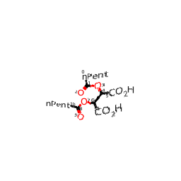 CCCCCC(=O)OC(C(=O)O)C(OC(=O)CCCCC)C(=O)O